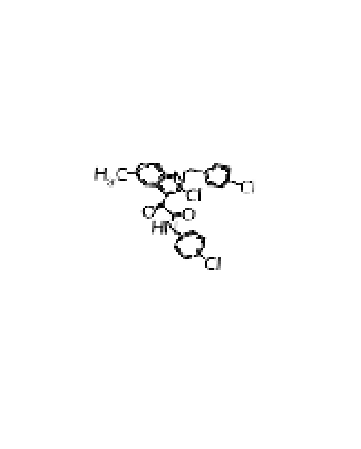 Cc1ccc2c(c1)c(C(=O)C(=O)Nc1ccc(Cl)cc1)c(Cl)n2Cc1ccc(Cl)cc1